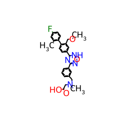 COCc1cc(C2=NC(c3cccc(CN(C)CC(=O)O)c3)=NON2)ccc1-c1ccc(F)cc1C